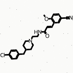 COc1ccc(C#N)cc1C=CC(=O)NCCN1CCC(Cc2ccc(Cl)cc2)CC1